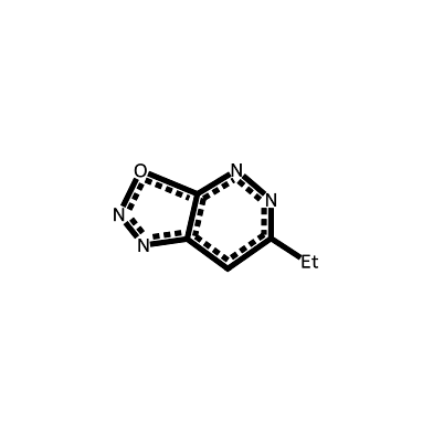 CCc1cc2nnoc2nn1